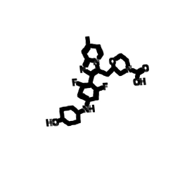 Cc1ccn2c(CC3CN(C(=O)O)CCO3)c(-c3c(F)cc(NC4CCC(O)CC4)cc3F)nc2c1